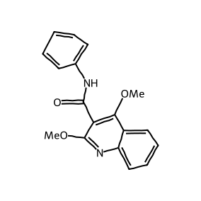 COc1nc2ccccc2c(OC)c1C(=O)Nc1ccccc1